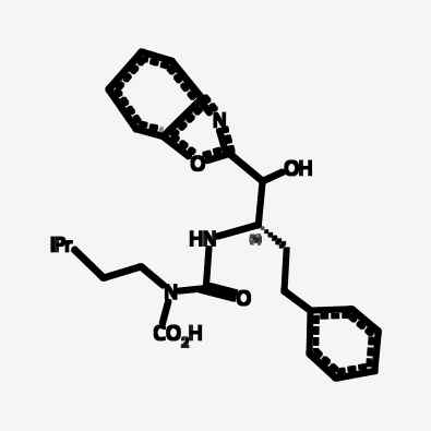 CC(C)CCN(C(=O)O)C(=O)N[C@@H](CCc1ccccc1)C(O)c1nc2ccccc2o1